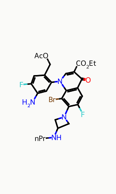 CCCNC1CN(c2c(F)cc3c(=O)c(C(=O)OCC)cn(-c4cc(N)c(F)cc4COC(C)=O)c3c2Br)C1